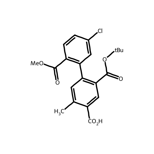 COC(=O)c1ccc(Cl)cc1-c1cc(C)c(C(=O)O)cc1C(=O)OC(C)(C)C